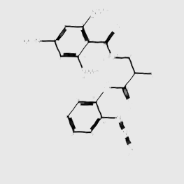 CNc1cc(NC)c(C(=O)NCC(C)C(=O)Oc2ccccc2N=[N+]=[N-])c(NC)c1